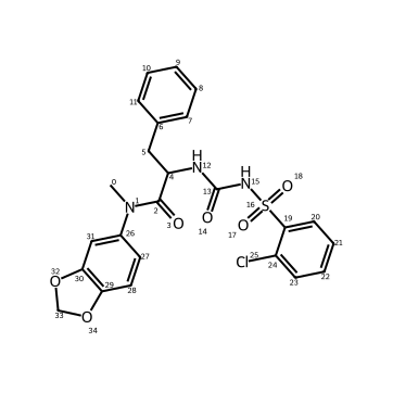 CN(C(=O)C(Cc1ccccc1)NC(=O)NS(=O)(=O)c1ccccc1Cl)c1ccc2c(c1)OCO2